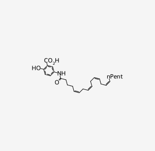 CCCCC/C=C\C/C=C\C/C=C\C/C=C\CCCC(=O)Nc1ccc(O)c(C(=O)O)c1